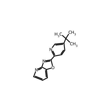 CC(C)(C)c1ccc(-c2nc3ncccc3o2)nc1